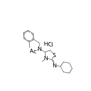 CC(=O)N(Cc1ccccc1C)C1CSC(=NC2CCCCC2)N1C.Cl